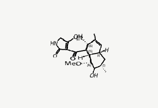 CC[C@@H]1C(C)=C[C@@H]2C[C@H](C)C(O)[C@H](OC)[C@@H]2C1C(=O)C1=C(O)CNC1=O